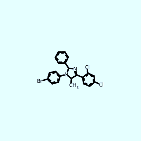 CC1C(c2ccc(Cl)cc2Cl)=NC(c2ccccc2)N1c1ccc(Br)cc1